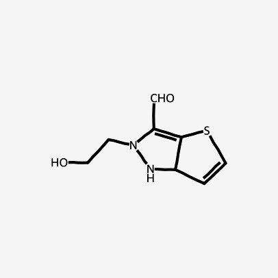 O=CC1=C2SC=CC2NN1CCO